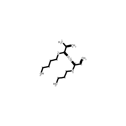 C=C(C)C(=O)OCCCCO.C=CC(=O)OCCCO